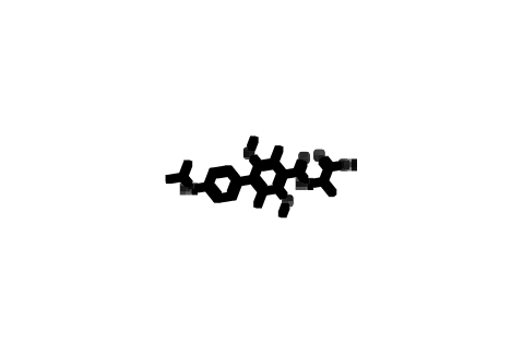 COc1c(C)c(-c2ccc(NC(C)C)cc2)c(OC)c(C)c1C(=O)NC(C)C(=O)O